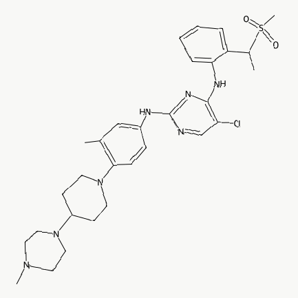 Cc1cc(Nc2ncc(Cl)c(Nc3ccccc3C(C)S(C)(=O)=O)n2)ccc1N1CCC(N2CCN(C)CC2)CC1